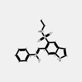 CCNS(=O)(=O)c1cc2cc[nH]c2cc1/C=[N+](\[O-])c1ccccc1